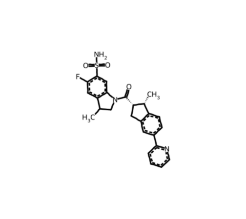 CC1CN(C(=O)[C@H]2Cc3cc(-c4ccccn4)ccc3[C@H]2C)c2cc(S(N)(=O)=O)c(F)cc21